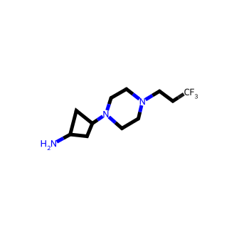 NC1CC(N2CCN(CCC(F)(F)F)CC2)C1